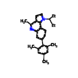 CCC(CC)n1ccc2c(C)nc3cc(-c4c(C)cc(C)cc4C)ccc3c21